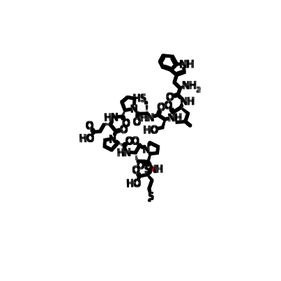 CSCC[C@H](NC(=O)[C@@H]1CCCN1C(=O)[C@H](CCSC)NC(=O)[C@@H]1CCCN1C(=O)[C@H](CCC(=O)O)NC(=O)[C@@H]1CCCN1C(=O)[C@H](CS)NC(=O)[C@H](CO)NC(=O)[C@H](CC(C)C)NC(=O)[C@@H](N)Cc1c[nH]c2ccccc12)C(=O)O